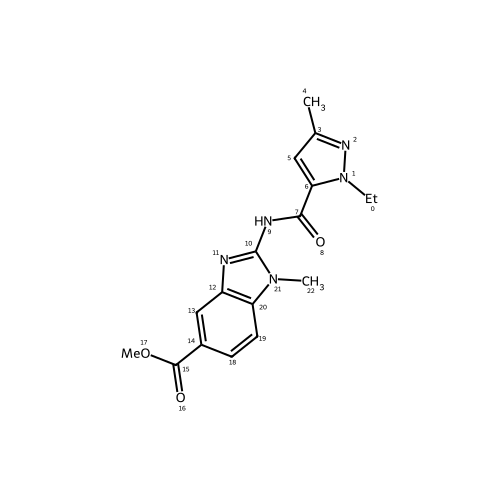 CCn1nc(C)cc1C(=O)Nc1nc2cc(C(=O)OC)ccc2n1C